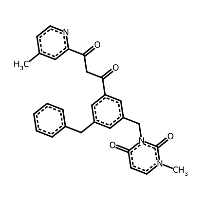 Cc1ccnc(C(=O)CC(=O)c2cc(Cc3ccccc3)cc(Cn3c(=O)ccn(C)c3=O)c2)c1